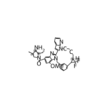 COc1cc(C(=O)N2C[C@@H](C)[C@@H](N)[C@H]2C)cc2nc3n(c12)Cc1cccc(c1)C1[C@@H](CCCCn2c-3cc3cccnc32)C1(F)F